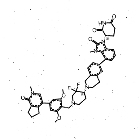 COc1cc(-c2cn(C)c(=O)c3c2CCC3)cc(OC)c1CN1CC[C@@H](N2CCc3cc(-c4cccc5c4n(C)c(=O)n5[C@H]4CCC(=O)NC4=O)ccc3C2)C(F)(F)C1